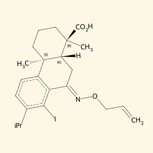 C=CCON=C1C[C@H]2[C@](C)(C(=O)O)CCC[C@]2(C)c2ccc(C(C)C)c(I)c21